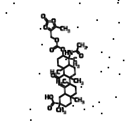 CC(=O)NC1(C)C(OC(=O)OCc2oc(=O)oc2C)CCC2(C)C1CCC1(C)C2C(=O)C=C2C3CC(C)(C(=O)O)CCC3(C)CCC21C